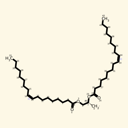 [CH2][C@H](COC(=O)CCCCCCC/C=C\CCCCCCCC)OC(=O)CCCCCCC/C=C\CCCCCCCC